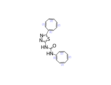 O=C(NC1=C/C=C\C=C/C=C\1)Nc1nnc(C2=C/C=C\C=C/C=C\2)s1